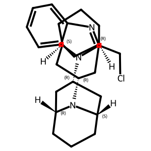 ClCc1nc2ccccc2n1[C@H]1C[C@H]2CCC[C@@H](C1)N2[C@H]1C[C@@H]2CCC[C@@H](C2)C1